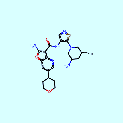 Nc1oc2cc(C3CCOCC3)cnc2c1C(=O)Nc1cnsc1N1CC(N)CC(C(F)(F)F)C1